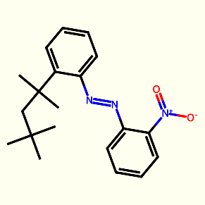 CC(C)(C)CC(C)(C)c1ccccc1N=Nc1ccccc1[N+](=O)[O-]